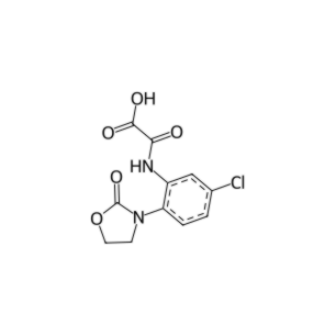 O=C(O)C(=O)Nc1cc(Cl)ccc1N1CCOC1=O